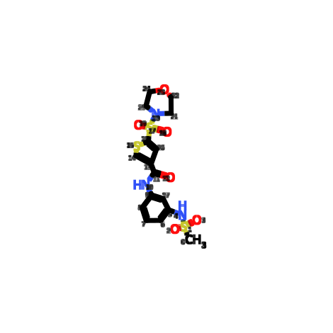 CS(=O)(=O)Nc1cccc(NC(=O)c2csc(S(=O)(=O)N3CCOCC3)c2)c1